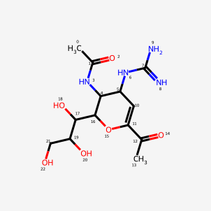 CC(=O)NC1C(NC(=N)N)C=C(C(C)=O)OC1C(O)C(O)CO